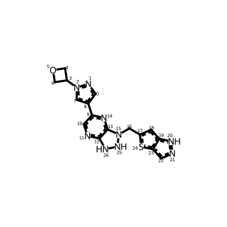 c1nn(C2COC2)cc1-c1cnc2c(n1)N(Cc1cc3[nH]ncc3s1)NN2